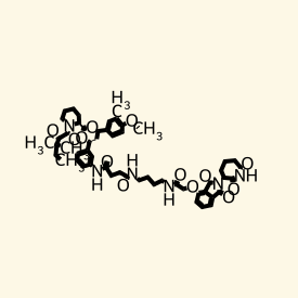 CCC(C)(C)C(=O)C(=O)N1CCCC[C@H]1C(=O)O[C@H](CCc1ccc(OC)c(C)c1)c1cccc(NC(=O)CCC(=O)NCCCCNC(=O)COc2cccc3c2C(=O)N([C@H]2CCCC(=O)NC2=O)C3=O)c1